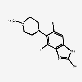 CN1CCN(c2c(F)cc3[nH]c(S)nc3c2F)CC1